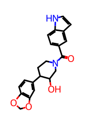 O=C(c1ccc2[nH]ccc2c1)N1CCC(c2ccc3c(c2)OCO3)C(O)C1